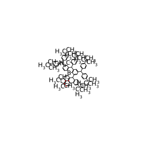 Cc1cc(C(C)(C)C)ccc1C1c2cc(N(c3ccc(C(C)(C)C)cc3)c3ccc(C(C)(C)C)cc3)ccc2B2c3cc4c(cc3C(c3ccc(C(C)(C)C)cc3-c3ccccc3)c3cc(C(c5ccc(C(C)(C)C)cc5)c5ccc(C(C)(C)C)cc5)cc1c32)C(C)(C)CC4(C)C